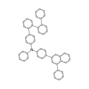 c1ccc(-c2ccccc2-c2ccccc2-c2ccc(N(c3ccccc3)c3ccc(-c4cc(-c5ccccc5)c5ccccc5c4)cc3)cc2)cc1